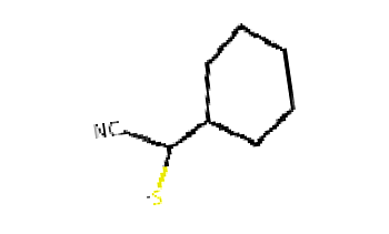 N#CC([S])C1CCCCC1